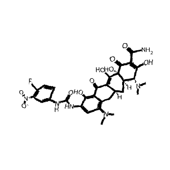 CN(C)c1cc(NC(=O)Nc2ccc(F)c([N+](=O)[O-])c2)c(O)c2c1C[C@@H]1C[C@@H]3[C@@H](N(C)C)C(O)=C(C(N)=O)C(=O)[C@]3(O)C(O)=C1C2=O